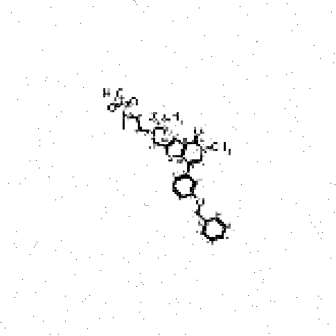 Cn1cc(-c2cccc(OCc3ccccc3)c2)c2sc(CN(CCNS(C)(=O)=O)S(C)(=O)=O)cc2c1=O